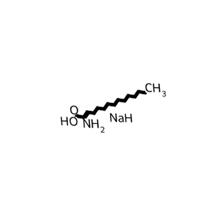 CCCCCCCCCCCCC=C(N)C(=O)O.[NaH]